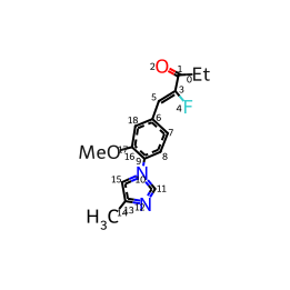 CCC(=O)/C(F)=C/c1ccc(-n2cnc(C)c2)c(OC)c1